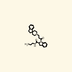 NCCNC(=O)C1Cc2ccccc2N1C(=O)CCN1CCC2(CCc3ccccc32)CC1